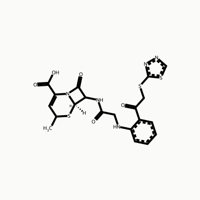 CC1C=C(C(=O)O)N2C(=O)C(NC(=O)CNc3ccccc3C(=O)CSc3nncs3)[C@H]2S1